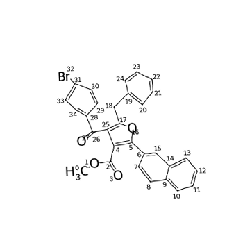 COC(=O)c1c(-c2ccc3ccccc3c2)oc(Cc2ccccc2)c1C(=O)c1ccc(Br)cc1